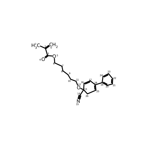 C=C(C)C(=O)OCCCCCCOC1(C#N)C=CC(c2ccccc2)=CC1